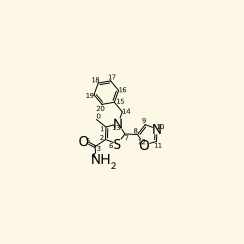 CC1=C(C(N)=O)SC(c2cnco2)N1Cc1ccccc1